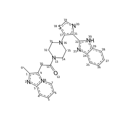 Cc1nc2ccccn2c1CC(=O)N1CCN(c2scnc2-c2nc3ccccc3[nH]2)CC1